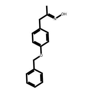 CC(Cc1ccc(OCc2ccccc2)cc1)=NO